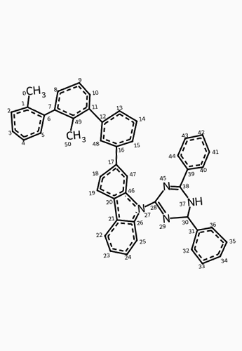 Cc1ccccc1-c1cccc(-c2cccc(-c3ccc4c5ccccc5n(C5=NC(c6ccccc6)NC(c6ccccc6)=N5)c4c3)c2)c1C